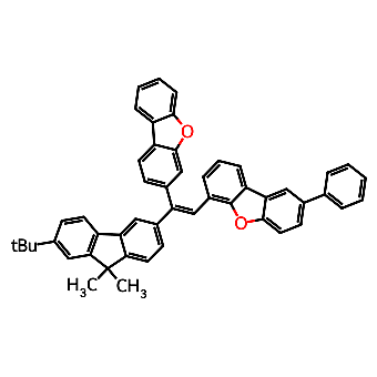 CC(C)(C)c1ccc2c(c1)C(C)(C)c1ccc(/C(=C/c3cccc4c3oc3ccc(-c5ccccc5)cc34)c3ccc4c(c3)oc3ccccc34)cc1-2